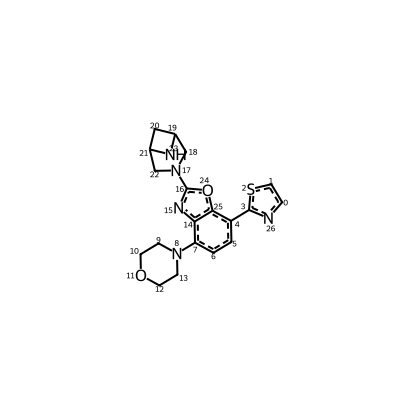 c1csc(-c2ccc(N3CCOCC3)c3nc(N4CC5CC(C4)N5)oc23)n1